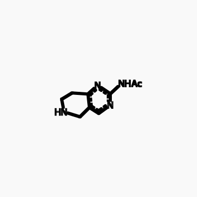 CC(=O)Nc1ncc2c(n1)CCNC2